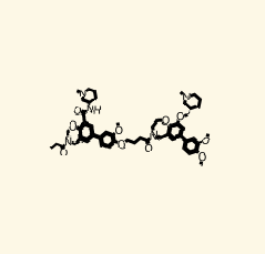 CCC(=O)N1COc2c(cc(-c3ccc(OCCCC(=O)N4CCOc5c(cc(-c6ccc(OC)c(OC)c6)cc5OC[C@H]5CCCN(C)C5)C4)c(OC)c3)cc2C(=O)N[C@H]2CCCN(C)C2)C1